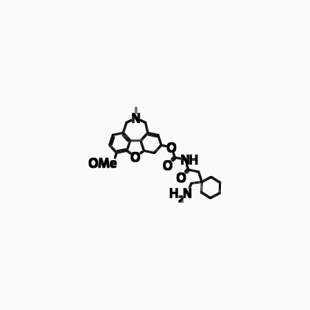 COc1ccc2c3c1OC1CC(OC(=O)NC(=O)CC4(CN)CCCCC4)C=C(CN(C)C2)C31